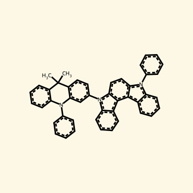 CC1(C)c2ccccc2N(c2ccccc2)c2cc(-n3c4ccccc4c4c5c6ccccc6n(-c6ccccc6)c5ccc43)ccc21